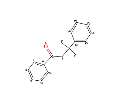 CC(C)(CC(=O)c1ccccc1)c1cc[c]cc1